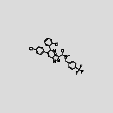 CN(Cc1ccc(C(F)(F)F)cc1)C(=O)c1nnc2cc(-c3ccc(Cl)cc3)c(-c3ccccc3Cl)nn12